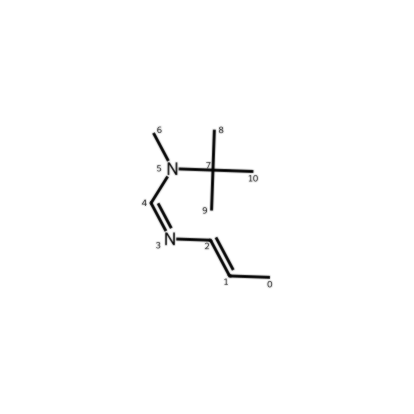 CC=C/N=C\N(C)C(C)(C)C